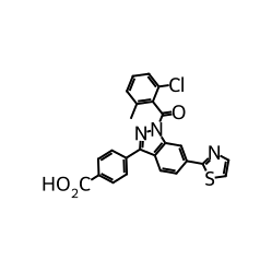 Cc1cccc(Cl)c1C(=O)n1nc(-c2ccc(C(=O)O)cc2)c2ccc(-c3nccs3)cc21